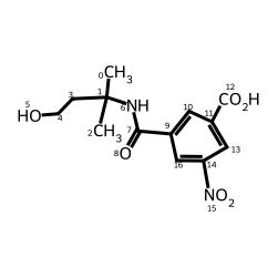 CC(C)(CCO)NC(=O)c1cc(C(=O)O)cc([N+](=O)[O-])c1